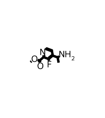 COC(=O)c1nccc(C(C)N)c1F